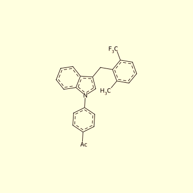 CC(=O)c1ccc(-n2cc(Cc3c(C)cccc3C(F)(F)F)c3ccccc32)cc1